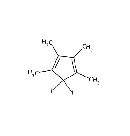 CC1=C(C)C(I)(I)C(C)=C1C